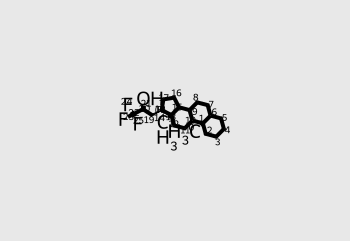 CC12CCCCC1CCC1C2CCC2(C)C1CC[C@@H]2CC(O)C(F)(F)F